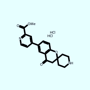 COC(=O)c1cc(-c2ccc3c(c2)C(=O)CC2(CCNCC2)O3)ccn1.Cl.Cl